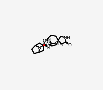 Cc1noc(N2C3CCC2CC(N2CCCC4(CC2)CNC(=O)C4)C3)n1